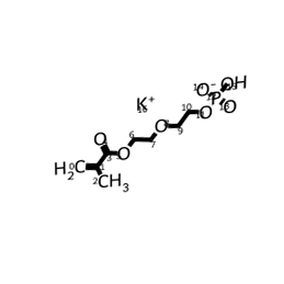 C=C(C)C(=O)OCCOCCOP(=O)([O-])O.[K+]